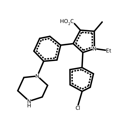 CCn1c(C)c(C(=O)O)c(-c2cccc(N3CCNCC3)c2)c1-c1ccc(Cl)cc1